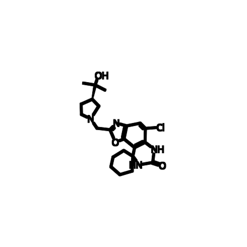 CC(C)(O)[C@@H]1CCN(Cc2nc3cc(Cl)c4c(c3o2)C2(CCCCC2)NC(=O)N4)C1